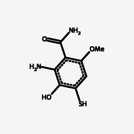 COc1cc(S)c(O)c(N)c1C(N)=O